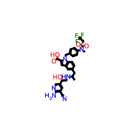 CC(Cc1ccc2c(c1)cc(C(=O)O)n2Cc1ccc(N(C)S(=O)(=O)CC(F)(F)F)cc1)NCC(O)c1cnc(N)c(C#N)c1